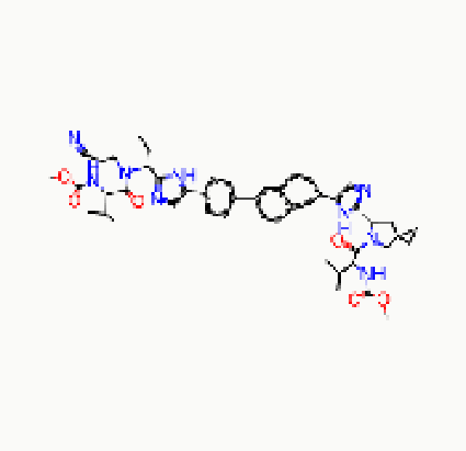 CC[C@@H](c1ncc(-c2ccc(-c3ccc4cc(-c5cnc([C@@H]6CC7(CC7)CN6C(=O)[C@@H](NC(=O)OC)C(C)C)[nH]5)ccc4c3)cc2)[nH]1)N(CCC#N)C(=O)[C@@H](NC(=O)OC)C(C)C